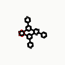 c1ccc(-c2ncc(-c3cc(-c4ccncc4)cc(-c4ccncc4)c3)c(-c3cc(-c4ccncc4)cc(-c4ccncc4)c3)n2)cc1